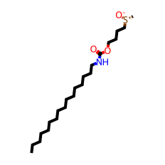 CCCCCCCCCCCCCCCCNC(=O)OCCCC[S+](C)[O-]